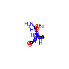 CC(C)(C)OC(=O)[C@@H](CCCCN)NC(=O)C(C)(C)c1c[nH]c([C@@H](Cc2c[nH]c3ccccc23)NC(=O)N2CCN(Cc3ccc4c(c3)OCO4)CC2)n1